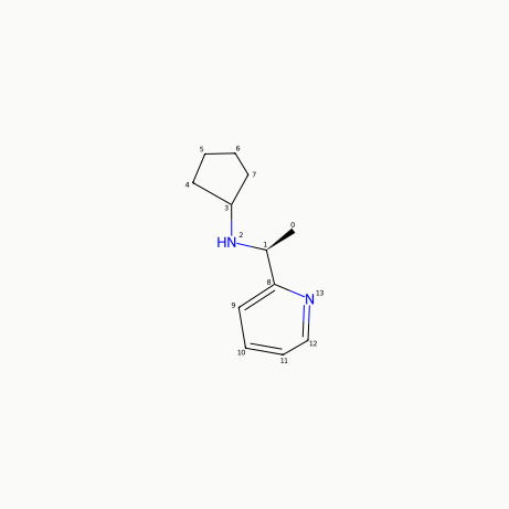 C[C@H](NC1CCCC1)c1ccccn1